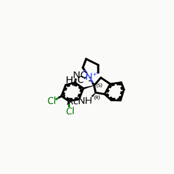 CC(=O)N[C@@H]1c2ccccc2C[C@@]1(c1cc(Cl)c(Cl)cc1[N+](=O)[O-])[N+]1(C)CCCC1